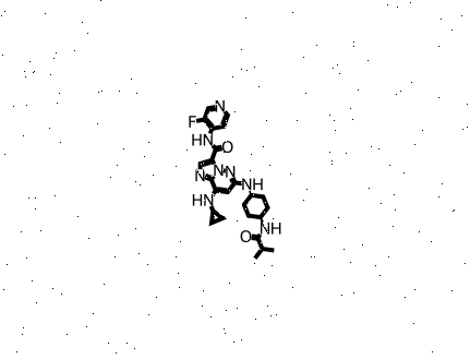 CC(C)C(=O)N[C@H]1CC[C@H](Nc2cc(NC3CC3)c3ncc(C(=O)Nc4ccncc4F)n3n2)CC1